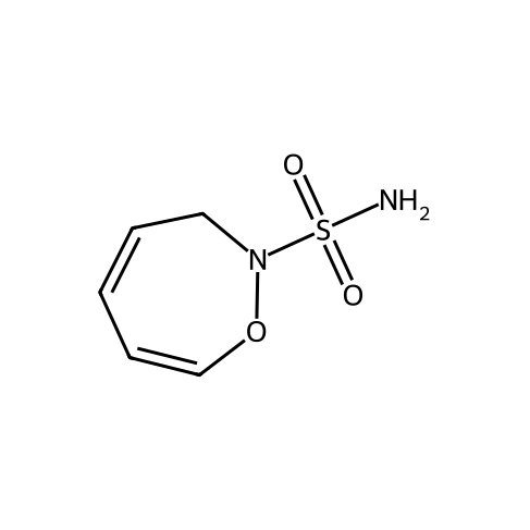 NS(=O)(=O)N1CC=CC=CO1